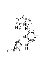 CCCn1cc(Nc2nccc(N3C[C@H]4CC[C@@H](C3)N4)n2)cn1